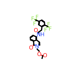 CC(=O)OCCn1ccc2c(NC(=O)Cc3cc(C(F)(F)F)ccc3C(F)(F)F)cccc2c1=O